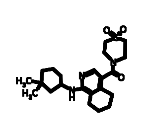 CC1(C)CCCC(Nc2ncc(C(=O)N3CCS(=O)(=O)CC3)c3c2CCCC3)C1